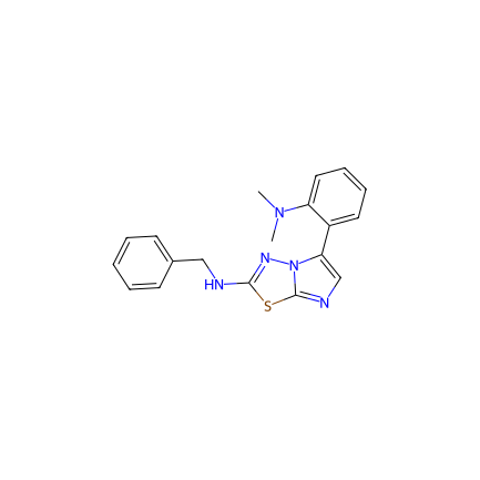 CN(C)c1ccccc1-c1cnc2sc(NCc3ccccc3)nn12